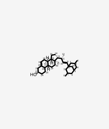 CC1CC2CC(C)CC(/C=C/[C@@H](C)[C@H]3CC[C@H]4[C@@H]5CC=C6C[C@@H](O)CC[C@]6(C)[C@H]5CC[C@]34C)(C1)C2